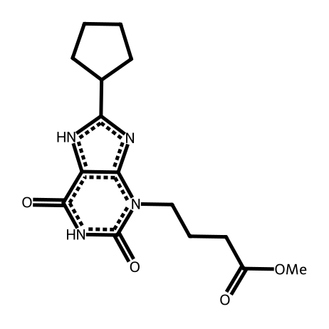 COC(=O)CCCn1c(=O)[nH]c(=O)c2[nH]c(C3CCCC3)nc21